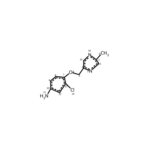 Cc1cnc(COc2ccc(N)cc2Cl)cn1